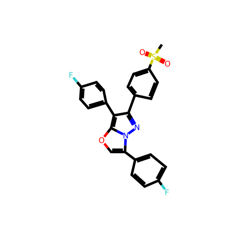 CS(=O)(=O)c1ccc(-c2nn3c(-c4ccc(F)cc4)coc3c2-c2ccc(F)cc2)cc1